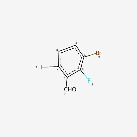 O=Cc1c(I)ccc(Br)c1F